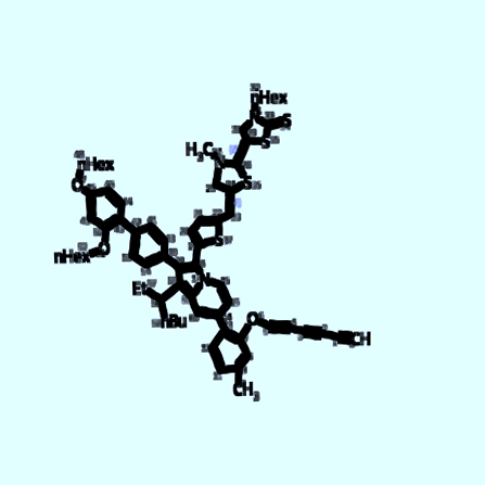 C#CC#CC#COc1cc(C)ccc1-c1ccn2c(-c3ccc(/C=C4\CN(C)/C(=C5\CN(CCCCCC)C(=S)S5)S4)s3)c(-c3ccc(-c4ccc(OCCCCCC)cc4OCCCCCC)cc3)c(C(CC)CCCC)c2c1